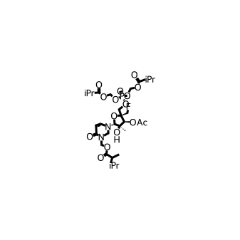 CC(=O)O[C@@H]1[C@@](CF)(COP(=O)(OCOC(=O)C(C)C)OCOC(=O)C(C)C)O[C@@H](N2C=CC(=O)N(COC(=O)C(C)C(C)C)C2)[C@]1(C)O